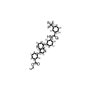 CCOC(=O)c1cccc(-c2cnn3c(-c4cccc(NC(=O)c5cccc(C(F)(F)F)c5)c4)ccnc23)c1